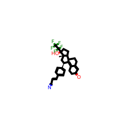 C[C@]12C[C@H](c3ccc(/C=C/C#N)cc3)C3=C4CCC(=O)C=C4CCC3C1CCC2(O)C(F)(F)C(F)(F)F